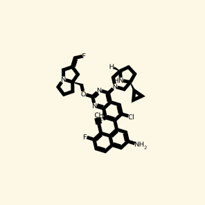 C#Cc1c(F)ccc2cc(N)cc(-c3c(Cl)cc4c(N5C[C@@H]6CC[C@](C7CC7)(C5)N6)nc(OC[C@@]56CCCN5C/C(=C/F)C6)nc4c3F)c12